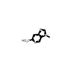 Cn1cnc2cc(C(=O)O)ncc21